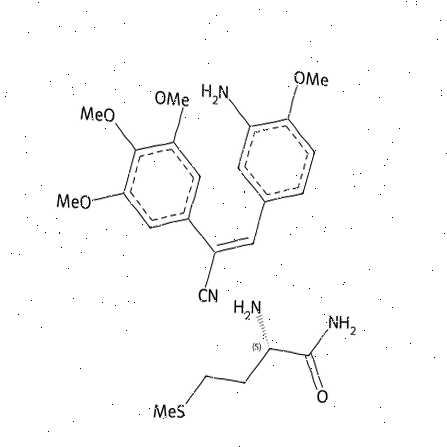 COc1ccc(C=C(C#N)c2cc(OC)c(OC)c(OC)c2)cc1N.CSCC[C@H](N)C(N)=O